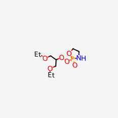 CCOCC(COCC)OOP1(=O)NCCO1